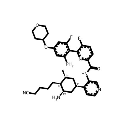 C[C@H]1C[C@@H](c2ccncc2NC(=O)c2ccc(F)c(-c3c(F)cc(OC4CCOCC4)cc3P)n2)C[C@@H](N)[C@H]1CCCCC#N